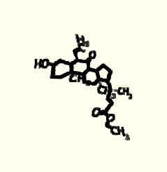 CCOC(=O)CC[C@@H](C)C1CCC2C3C(=O)[C@H](CC)C4C[C@H](O)CC[C@]4(C)C3CC[C@@]21C